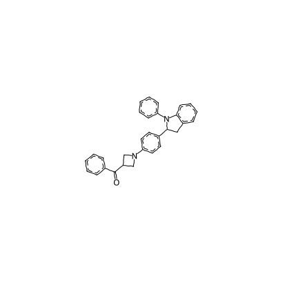 O=C(c1ccccc1)C1CN(c2ccc(C3Cc4ccccc4N3c3ccccc3)cc2)C1